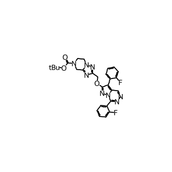 CC(C)(C)OC(=O)N1CCn2nc(COc3nn4c(-c5ccccc5F)nncc4c3-c3ccccc3F)nc2C1